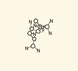 N#Cc1cc(C#N)cc(-c2ccc3c(c2)c2ccccc2n3-c2ccc(C(F)(F)F)cc2-c2cccc(C#N)c2-n2c3ccccc3c3cc(-c4cc(C#N)cc(C#N)c4)ccc32)c1